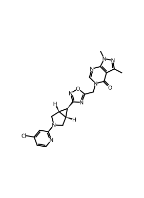 Cc1nn(C)c2ncn(Cc3nc([C@H]4[C@@H]5CN(c6cc(Cl)ccn6)C[C@@H]54)no3)c(=O)c12